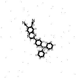 N#Cc1cc2ncc(-c3ccc(N(c4ccccc4)c4ccccc4)cc3)nc2cc1C#N